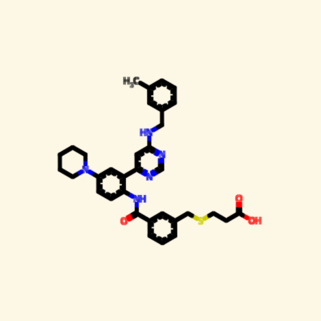 Cc1cccc(CNc2cc(-c3cc(N4CCCCC4)ccc3NC(=O)c3cccc(CSCCC(=O)O)c3)ncn2)c1